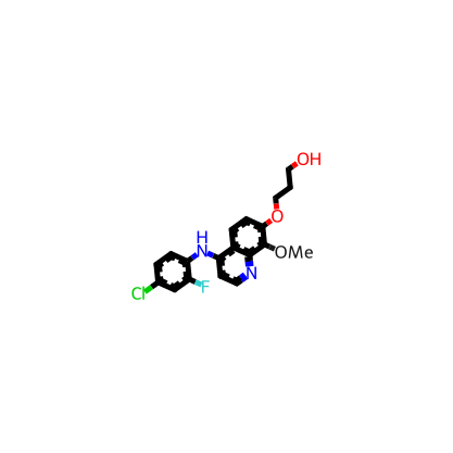 COc1c(OCCCO)ccc2c(Nc3ccc(Cl)cc3F)ccnc12